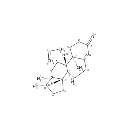 C=CC.C[C@]12CC[C@H]3[C@@H](CCC4=CC(=O)CC[C@@]43C)[C@@H]1CC[C@@H]2O